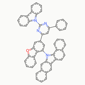 c1ccc(-c2cc(-c3cc(-n4c5cc6ccccc6cc5c5ccc6ccccc6c54)c4c(c3)oc3ccccc34)nc(-n3c4ccccc4c4ccccc43)n2)cc1